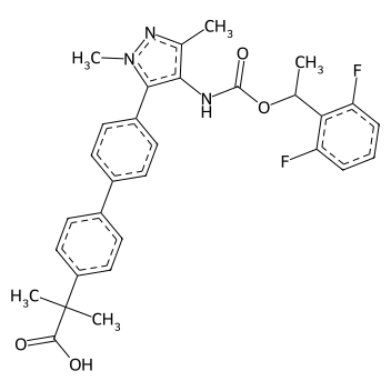 Cc1nn(C)c(-c2ccc(-c3ccc(C(C)(C)C(=O)O)cc3)cc2)c1NC(=O)OC(C)c1c(F)cccc1F